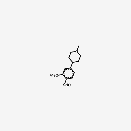 COc1cc(C2CCN(C)CC2)ccc1C=O